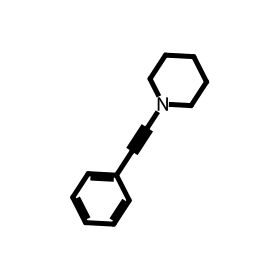 C(#CN1CCCCC1)c1ccccc1